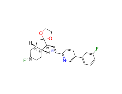 Fc1cccc(-c2ccc(/C=C/[C@H]3[C@@H]4CC[C@H](F)C[C@@H]4CC34OCCO4)nc2)c1